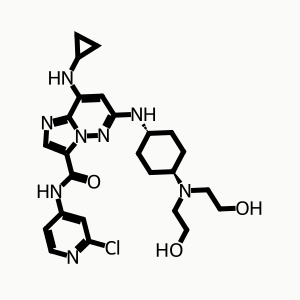 O=C(Nc1ccnc(Cl)c1)c1cnc2c(NC3CC3)cc(N[C@H]3CC[C@H](N(CCO)CCO)CC3)nn12